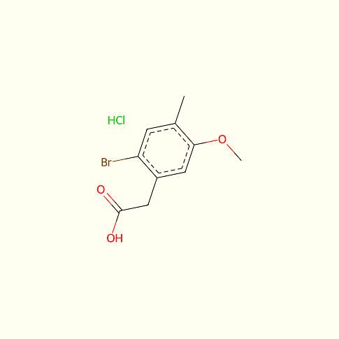 COc1cc(CC(=O)O)c(Br)cc1C.Cl